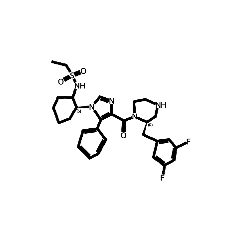 CCS(=O)(=O)NC1CCCC[C@@H]1n1cnc(C(=O)N2CCNC[C@H]2Cc2cc(F)cc(F)c2)c1-c1ccccc1